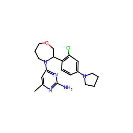 Cc1cc(N2CCCOCC2c2ccc(N3CCCC3)cc2Cl)nc(N)n1